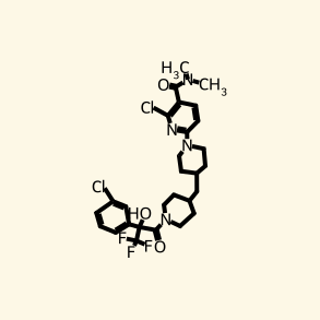 CN(C)C(=O)c1ccc(N2CCC(CC3CCN(C(=O)C(O)(c4cccc(Cl)c4)C(F)(F)F)CC3)CC2)nc1Cl